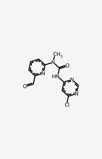 CN(C(=O)Nc1cc(Cl)ncn1)c1cccc(C=O)n1